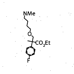 CCOC(=O)C(C)(COCCCCNC)c1ccc(F)cc1